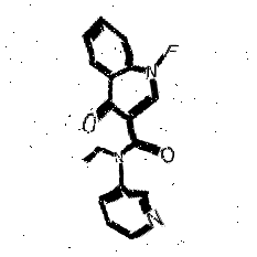 CCN(C(=O)c1cn(F)c2ccccc2c1=O)c1cccnc1